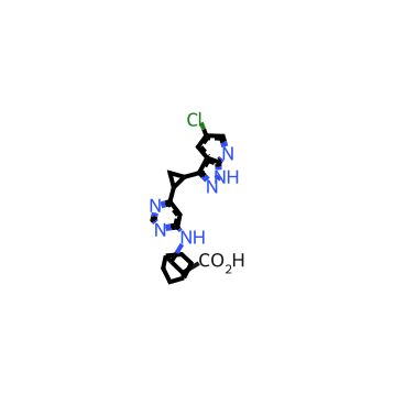 O=C(O)C1C2CCC(CC2)C1Nc1cc(C2CC2c2n[nH]c3ncc(Cl)cc23)ncn1